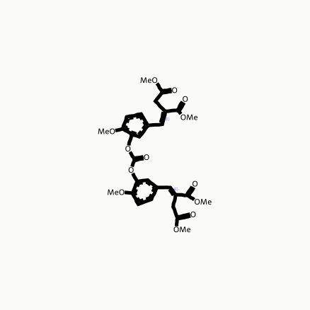 COC(=O)C/C(=C\c1ccc(OC)c(OC(=O)Oc2cc(/C=C(\CC(=O)OC)C(=O)OC)ccc2OC)c1)C(=O)OC